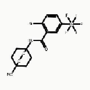 N#CC12CCC(NC(=O)c3cc(S(F)(F)(F)(F)F)ccc3Br)(CC1)CC2